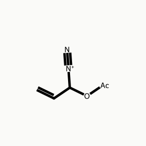 C=CC([N+]#N)OC(C)=O